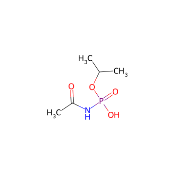 CC(=O)NP(=O)(O)OC(C)C